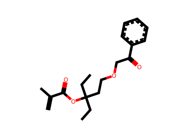 C=C(C)C(=O)OC(CC)(CC)CCOCC(=O)c1ccccc1